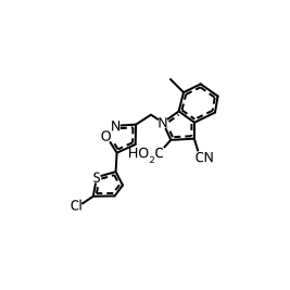 Cc1cccc2c(C#N)c(C(=O)O)n(Cc3cc(-c4ccc(Cl)s4)on3)c12